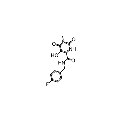 Cn1c(=O)[nH]c(C(=O)NCc2ccc(F)cc2)c(O)c1=O